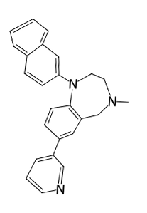 CN1CCN(c2ccc3ccccc3c2)c2ccc(-c3cccnc3)cc2C1